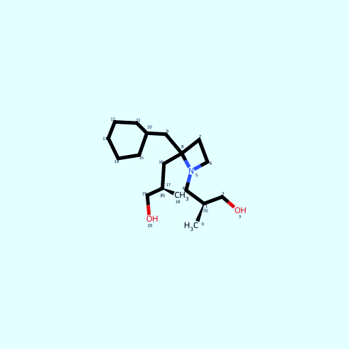 C[C@H](CO)CN1CCC1(CC1CCCCC1)C[C@@H](C)CO